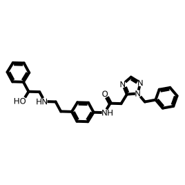 O=C(Cc1ncnn1Cc1ccccc1)Nc1ccc(CCNCC(O)c2ccccc2)cc1